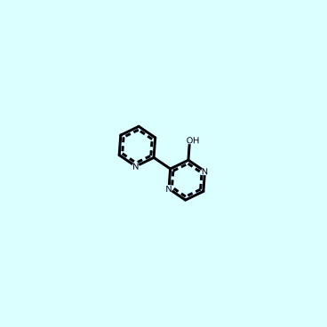 Oc1nccnc1-c1ccccn1